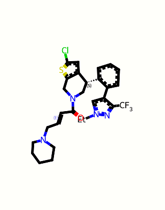 CCn1cc(-c2ccccc2[C@@H]2CN(C(=O)/C=C/CN3CCCCC3)Cc3sc(Cl)cc32)c(C(F)(F)F)n1